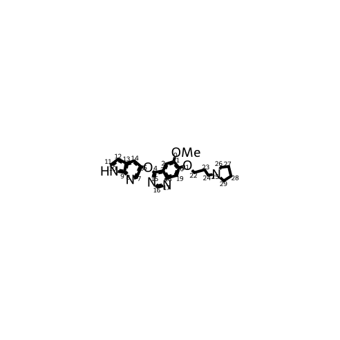 COc1cc2c(Oc3cnc4[nH]ccc4c3)ncnc2cc1OCCCN1CCCC1